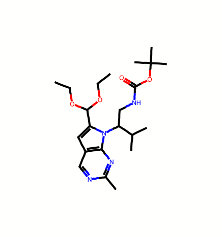 CCOC(OCC)c1cc2cnc(C)nc2n1C(CNC(=O)OC(C)(C)C)C(C)C